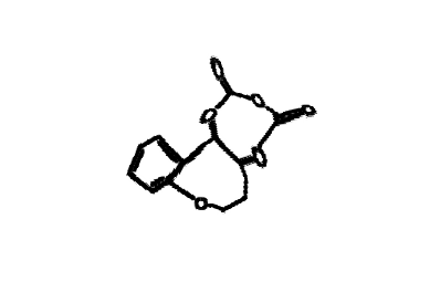 O=C1OC(=O)OC2c3ccccc3OCCC2O1